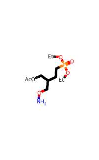 CCOP(=O)(CCC(CON)COC(C)=O)OCC